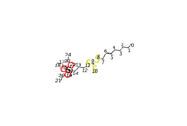 CCCCCCCCSC(=S)SCCC[Si](OCC)(OCC)OCC